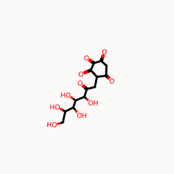 O=C1CC(=O)C(CC(=O)C(O)C(O)C(O)C(O)CO)C(=O)C1=O